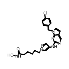 O=C(CCCCCn1cc(Nc2ncc3ccn(Cc4ccc(Cl)cc4)c3n2)cn1)NO